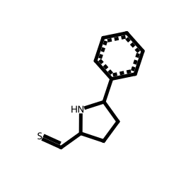 S=CC1CCC(c2ccccc2)N1